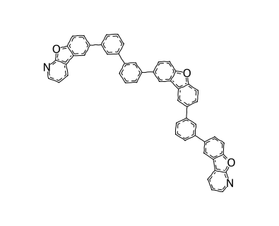 c1cc(-c2cccc(-c3ccc4oc5ncccc5c4c3)c2)cc(-c2ccc3oc4ccc(-c5cccc(-c6ccc7oc8ncccc8c7c6)c5)cc4c3c2)c1